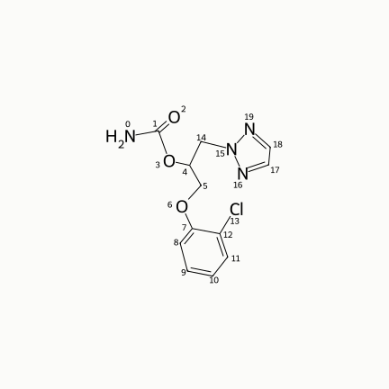 NC(=O)OC(COc1ccccc1Cl)Cn1nccn1